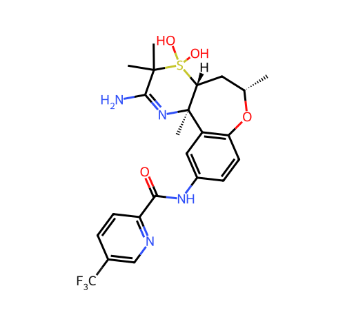 C[C@H]1C[C@@H]2[C@](C)(N=C(N)C(C)(C)S2(O)O)c2cc(NC(=O)c3ccc(C(F)(F)F)cn3)ccc2O1